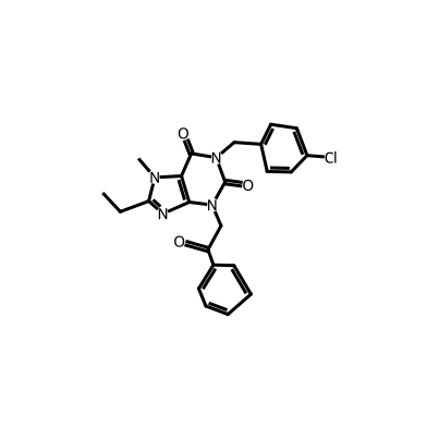 CCc1nc2c(c(=O)n(Cc3ccc(Cl)cc3)c(=O)n2CC(=O)c2ccccc2)n1C